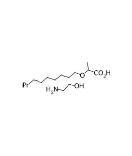 CC(C)CCCCCCCOC(C)C(=O)O.NCCO